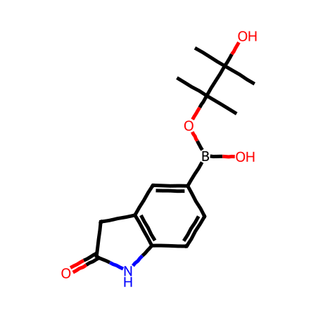 CC(C)(O)C(C)(C)OB(O)c1ccc2c(c1)CC(=O)N2